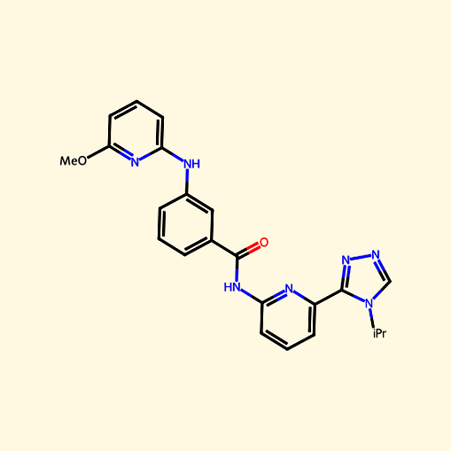 COc1cccc(Nc2cccc(C(=O)Nc3cccc(-c4nncn4C(C)C)n3)c2)n1